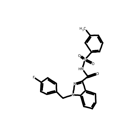 Cc1cccc(S(=O)(=O)NC(=O)c2nn(Cc3ccc(F)cc3)c3ccccc23)c1